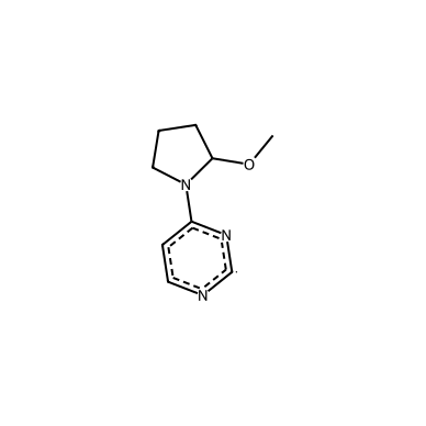 COC1CCCN1c1ccn[c]n1